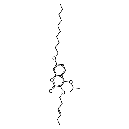 CCC=CCCOc1c(OC(C)C)c2ccc(OCCCCCCCCCC)cc2oc1=O